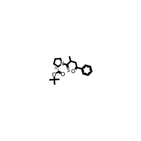 CC(CC(=O)c1ccccc1)C(=S)N1CCC[C@H]1C(=O)OC(C)(C)C